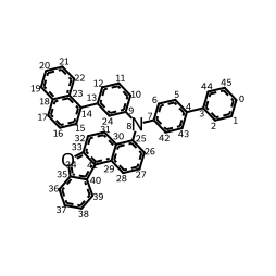 c1ccc(-c2ccc(N(c3cccc(-c4cccc5ccccc45)c3)c3cccc4c3ccc3oc5ccccc5c34)cc2)cc1